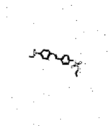 CCOS(=O)(=O)Oc1ccc(C=Cc2ccc(N(C)CC)cc2)cc1